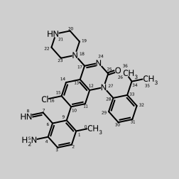 Cc1ccc(N)c(C=N)c1-c1cc2c(cc1Cl)c(N1CCNCC1)nc(=O)n2-c1ccccc1C(C)C